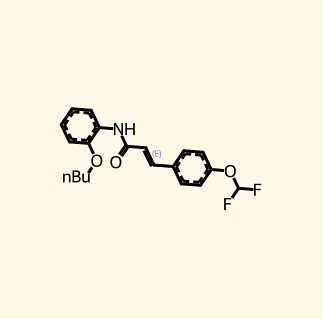 CCCCOc1ccccc1NC(=O)/C=C/c1ccc(OC(F)F)cc1